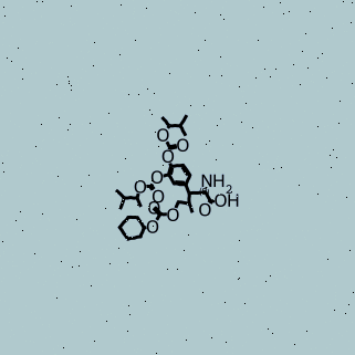 CC(C)C(C)OC(=O)Oc1ccc(C(C(C)COC(=O)OC2CCCCC2)[C@H](N)C(=O)O)cc1OC(=O)OC(C)C(C)C